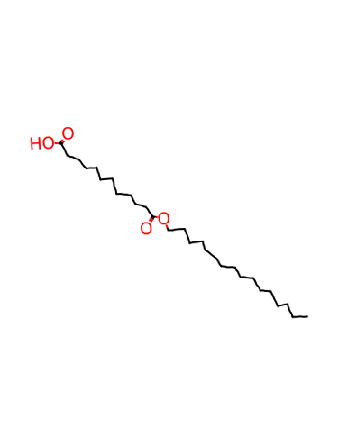 CCCCCCCCCCCCCCCCOC(=O)CCCCCCCCCCC(=O)O